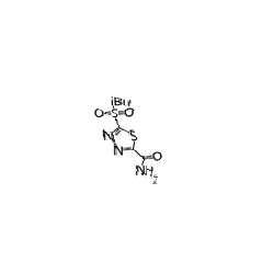 CCC(C)S(=O)(=O)c1nnc(C(N)=O)s1